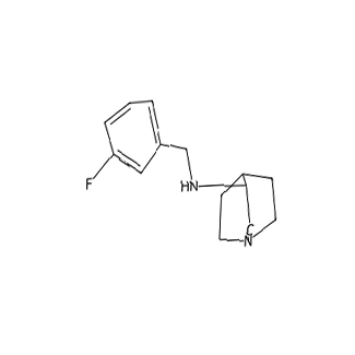 Fc1cccc(CNC2CN3CCC2CC3)c1